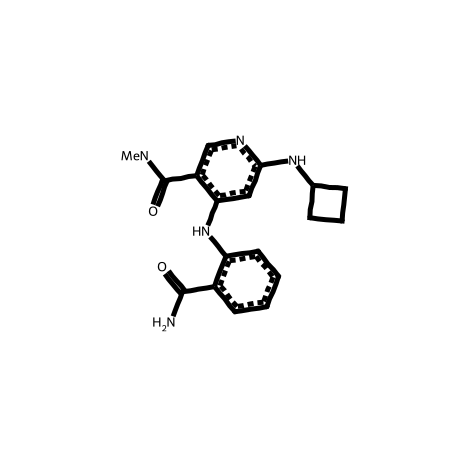 CNC(=O)c1cnc(NC2CCC2)cc1Nc1ccccc1C(N)=O